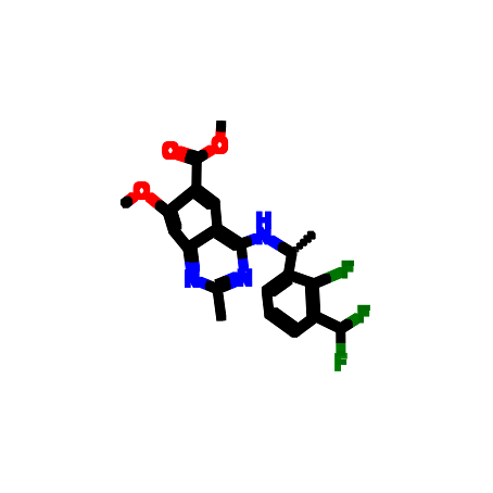 COC(=O)c1cc2c(N[C@H](C)c3cccc(C(F)F)c3F)nc(C)nc2cc1OC